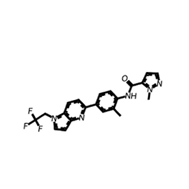 Cc1cc(-c2ccc3c(ccn3CC(F)(F)F)n2)ccc1NC(=O)c1ccnn1C